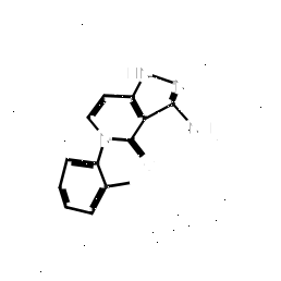 Cc1ccccc1-n1ccc2[nH]nc(N)c2c1=O